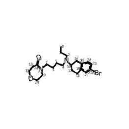 CCCN(CCCCN1CCOCCC1=O)C1CCc2cc(Br)ccc2C1